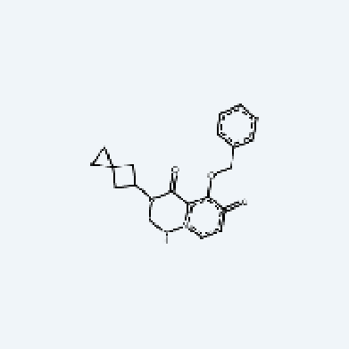 O=C1c2c(OCc3ccccc3)c(=O)ccn2NCN1C1CC2(CC2)C1